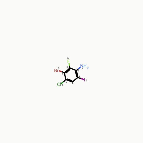 Nc1c(I)cc(Cl)c(Br)c1F